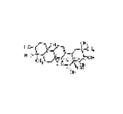 CC1(C)CC2C3=CCC4[C@@]5(C)CC[C@H](O)C(C)(C)C5CC[C@@]4(C)[C@]3(C)C[C@@H](O)[C@@]2(CO)[C@@H](O)[C@@H]1O